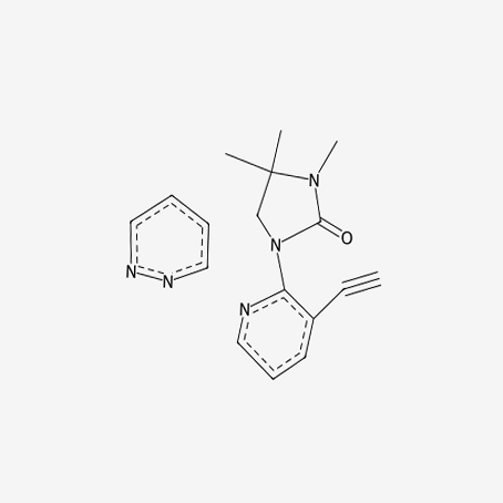 C#Cc1cccnc1N1CC(C)(C)N(C)C1=O.c1ccnnc1